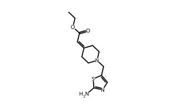 CCOC(=O)C=C1CCN(Cc2cnc(N)s2)CC1